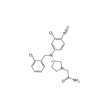 [C-]#[N+]c1ccc(N(Cc2ccccc2Cl)[C@H]2CCN(CC(N)=O)C2)cc1Cl